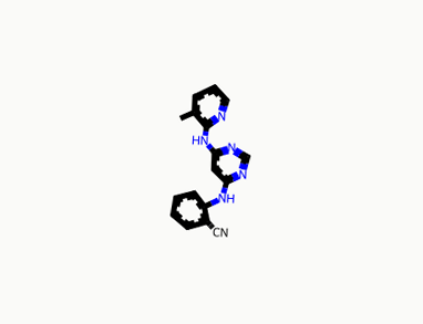 Cc1cccnc1Nc1cc(Nc2ccccc2C#N)ncn1